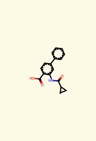 O=C(O)c1ccc(-c2ccccc2)cc1NC(=O)C1CC1